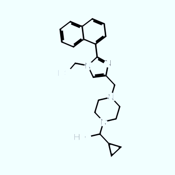 CCn1cc(CN2CCN(C(C)C3CC3)CC2)nc1-c1cccc2ccccc12